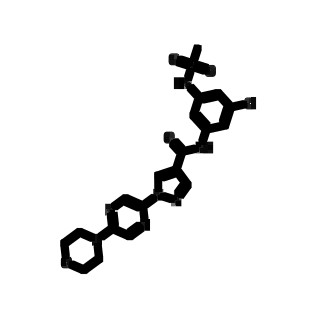 CS(=O)(=O)Nc1cc(Cl)cc(NC(=O)c2cnn(-c3cnc(N4CCOCC4)cn3)c2)c1